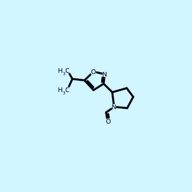 CC(C)c1cc(C2CCCN2C=O)no1